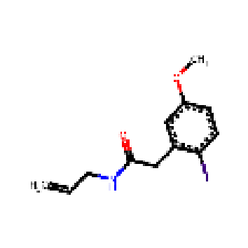 C=CCNC(=O)Cc1cc(OC)ccc1I